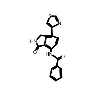 O=C(Nc1ccc(-c2cscn2)c2c1C(=O)NC2)c1ccccc1